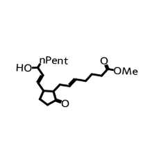 CCCCCC(O)C=CC1CCC(=O)C1CC=CCCCC(=O)OC